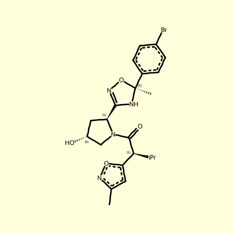 Cc1cc([C@@H](C(=O)N2C[C@H](O)C[C@H]2C2=NO[C@@](C)(c3ccc(Br)cc3)N2)C(C)C)on1